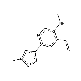 C=Cc1cc(-c2cnn(C)c2)ncc1NC